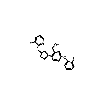 OCc1cc(Oc2ccccc2F)ccc1N1CCC(Oc2ncccc2F)C1